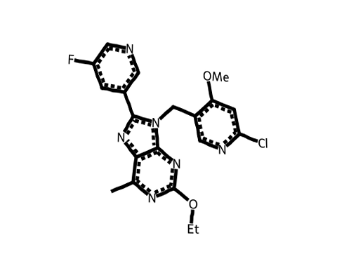 CCOc1nc(C)c2nc(-c3cncc(F)c3)n(Cc3cnc(Cl)cc3OC)c2n1